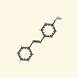 CSc1ccc(/C=C/c2ccccc2)cc1